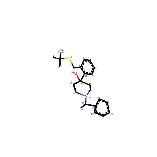 CCC(C)(C)SCc1ccccc1C1(O)CCN(C(C)c2ccccc2)CC1